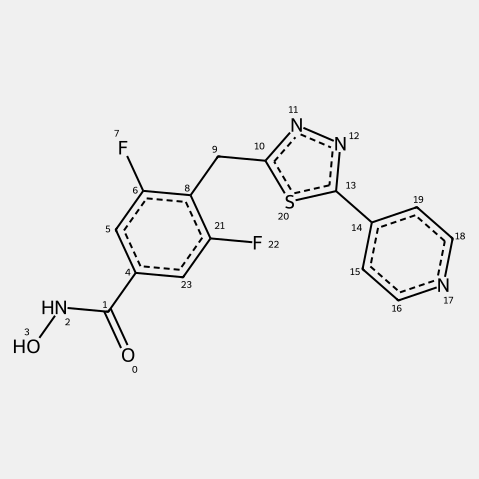 O=C(NO)c1cc(F)c(Cc2nnc(-c3ccncc3)s2)c(F)c1